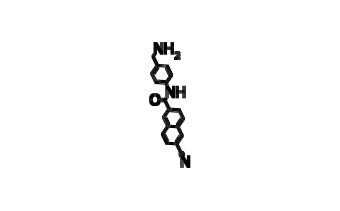 N#Cc1ccc2cc(C(=O)Nc3ccc(CN)cc3)ccc2c1